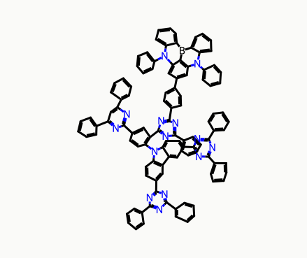 c1ccc(-c2cc(-c3ccccc3)nc(-c3ccc(-n4c5ccc(-c6nc(-c7ccccc7)nc(-c7ccccc7)n6)cc5c5cc(-c6nc(-c7ccccc7)nc(-c7ccccc7)n6)ccc54)c(-c4nc(-c5ccccc5)nc(-c5ccc(-c6cc7c8c(c6)N(c6ccccc6)c6ccccc6B8c6ccccc6N7c6ccccc6)cc5)n4)c3)n2)cc1